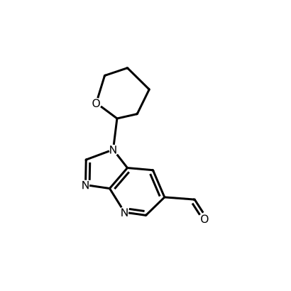 O=Cc1cnc2ncn(C3CCCCO3)c2c1